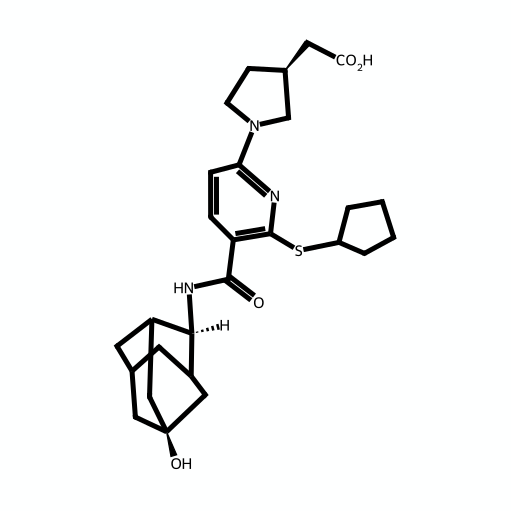 O=C(O)C[C@@H]1CCN(c2ccc(C(=O)N[C@H]3C4CC5CC3C[C@@](O)(C5)C4)c(SC3CCCC3)n2)C1